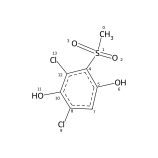 CS(=O)(=O)c1c(O)cc(Cl)c(O)c1Cl